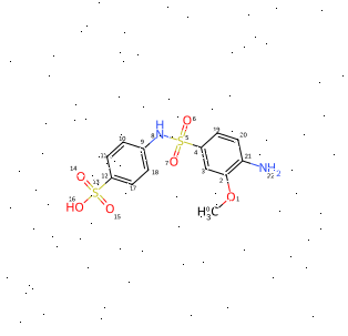 COc1cc(S(=O)(=O)Nc2ccc(S(=O)(=O)O)cc2)ccc1N